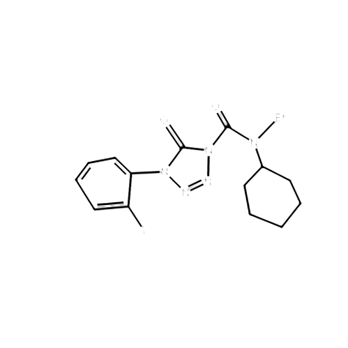 CCN(C(=O)n1nnn(-c2ccccc2I)c1=O)C1CCCCC1